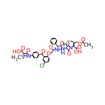 CSC(C(=O)O)C(=O)Nc1ccc(C(=O)c2cc(Cl)ccc2OCC(=O)N[C@H](C(=O)N[C@@H]2C(=O)N3C(C(=O)O)=C(COC(C)=O)CS[C@H]23)c2ccccc2)cc1